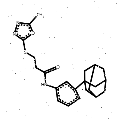 Cc1nnc(SCCC(=O)Nc2cccc(C34CC5CC(CC(C5)C3)C4)c2)o1